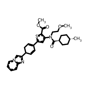 COCCN(c1cc(C2=CCC(c3cn4ccccc4n3)C=C2)sc1C(=O)OC)C(=O)[C@H]1CC[C@H](C)CC1